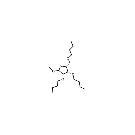 CCCCOC[C@H]1SC(OC)[C@@H](OCCCC)[C@H]1OCCCC